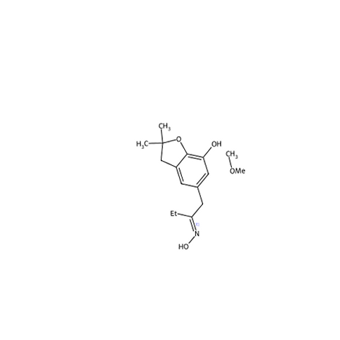 CC/C(Cc1cc(O)c2c(c1)CC(C)(C)O2)=N\O.COC